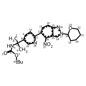 CC(C)(C)OC(=O)NC(C)(C)c1ccc(-c2ccc3nn(C4CCCCO4)cc3c2[N+](=O)[O-])nc1